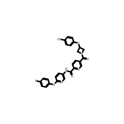 [C-]#[N+]c1ccc(OC2CN(C(=O)c3ccc(C(=O)Nc4ccc(Oc5ccc(F)cc5)nc4)nc3)C2)cc1